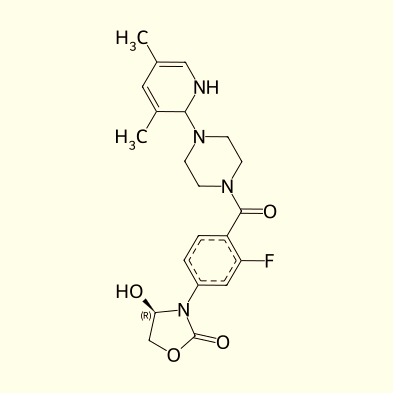 CC1=CNC(N2CCN(C(=O)c3ccc(N4C(=O)OC[C@H]4O)cc3F)CC2)C(C)=C1